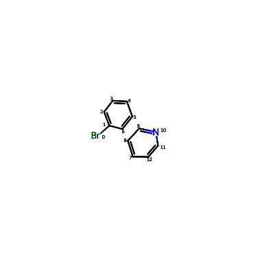 Brc1ccccc1.c1ccncc1